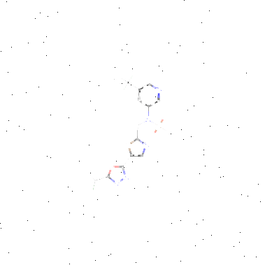 CC(F)(F)c1cncc(N(Cc2ncc(-c3nnc(C(F)F)o3)s2)S(C)(=O)=O)c1